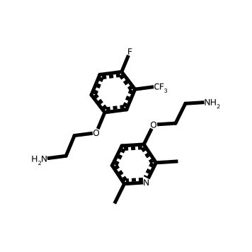 Cc1ccc(OCCN)c(C)n1.NCCOc1ccc(F)c(C(F)(F)F)c1